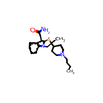 CCCCN1CCC(C2(C)Cn3c(c(C(N)=O)c4ccccc43)S2)CC1